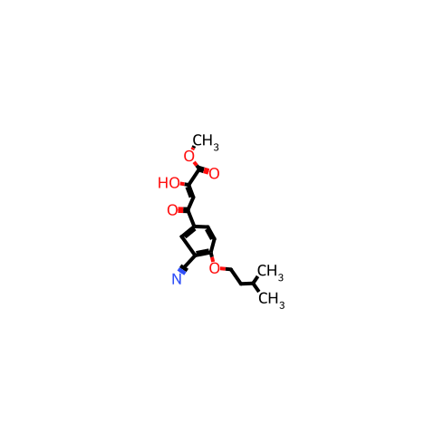 COC(=O)/C(O)=C/C(=O)c1ccc(OCCC(C)C)c(C#N)c1